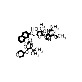 COc1nc(N)nc2c1ncn2C1O[C@H](COc2ccc3ccccc3c2O/[P+]([O-])=N/[C@H](C(=O)OC2CCOCC2)C(C)C)[C@@H](O)[C@@]1(C)O